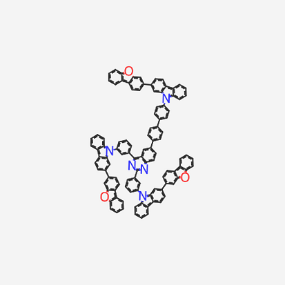 c1cc(-c2nc(-c3cccc(-n4c5ccccc5c5ccc(-c6ccc7c(c6)oc6ccccc67)cc54)c3)c3cc(-c4ccc(-c5ccc(-n6c7ccccc7c7ccc(-c8ccc9c(c8)oc8ccccc89)cc76)cc5)cc4)ccc3n2)cc(-n2c3ccccc3c3ccc(-c4ccc5c(c4)oc4ccccc45)cc32)c1